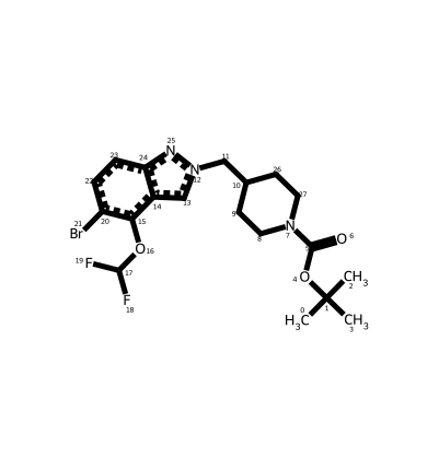 CC(C)(C)OC(=O)N1CCC(Cn2cc3c(OC(F)F)c(Br)ccc3n2)CC1